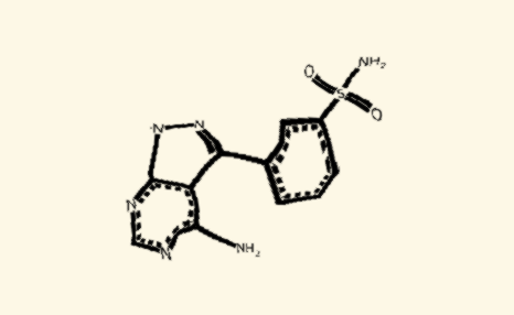 Nc1ncnc2c1C(c1cccc(S(N)(=O)=O)c1)=N[N]2